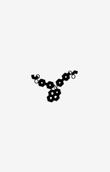 C=CC(=O)Oc1ccc(-c2ccc(N(c3ccc(-c4ccc(OC(=O)C=C)cc4)cc3)c3ccc4c5c3CC=C3C=CC=C(C=C4)C35)cc2)cc1